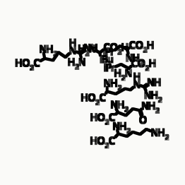 CC(C)CC(N)C(=O)O.CC(C)CC(N)C(=O)O.CCC(C)C(N)C(=O)O.N=C(N)NCCCC(N)C(=O)O.N=C(N)NCCCC(N)C(=O)O.NC(=O)CCC(N)C(=O)O.NCCCCC(N)C(=O)O